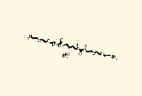 Cl.Cl.NCCOCCOCCNC(=O)NCCCCNC(=O)NCCOCCOCCN